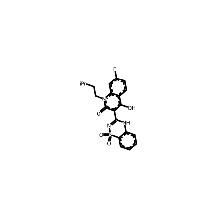 CC(C)CCn1c(=O)c(C2=NS(=O)(=O)c3ccccc3N2)c(O)c2ccc(F)cc21